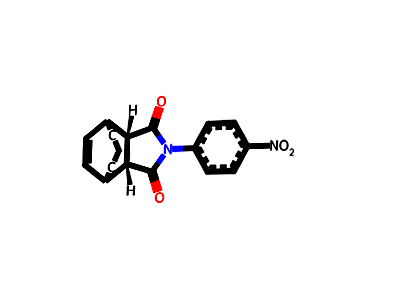 O=C1[C@@H]2C3C=CC(CCC3)[C@@H]2C(=O)N1c1ccc([N+](=O)[O-])cc1